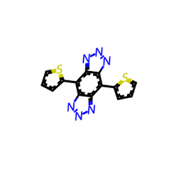 c1csc(-c2c3c(c(-c4cccs4)c4c2=NN=N4)=NN=N3)c1